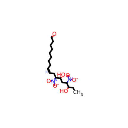 CCC(O)C(CC(O)C(C/C=C\CCCCCCCC=O)[N+](=O)[O-])[N+](=O)[O-]